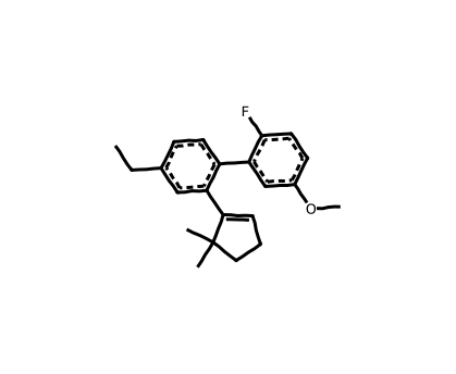 CCc1ccc(-c2cc(OC)ccc2F)c(C2=CCCC2(C)C)c1